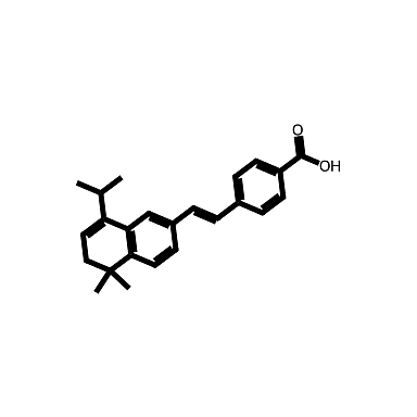 CC(C)C1=CCC(C)(C)c2ccc(C=Cc3ccc(C(=O)O)cc3)cc21